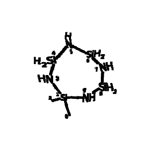 C[Si]1(C)N[SiH2]N[SiH2]N[SiH2]N1